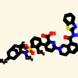 Cc1c(-c2ccc(N3CCc4cccc(C(=O)Nc5nc6ccccc6s5)c4C3)nc2C(=O)O)cccc1S(=O)(=O)N(C)C1C(C)CC2CC(C)CC1C2